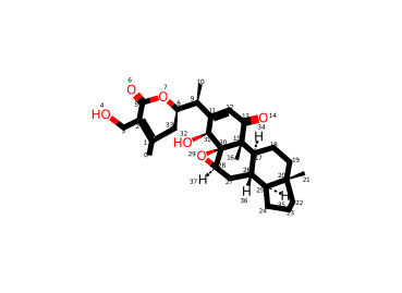 CC1=C(CO)C(=O)O[C@@H]([C@@H](C)C2=CC(=O)[C@]3(C)[C@H]4CC[C@]5(C)CCC[C@H]5[C@@H]4C[C@H]4O[C@]43[C@H]2O)C1